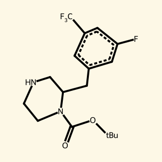 CC(C)(C)OC(=O)N1CCNCC1Cc1cc(F)cc(C(F)(F)F)c1